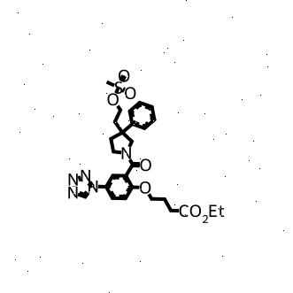 CCOC(=O)CCCOc1ccc(-n2cnnn2)cc1C(=O)N1CCC(CCOS(C)(=O)=O)(c2ccccc2)C1